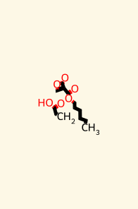 C=CC(=O)O.CCCCCCOC(=O)C1=COC1=O